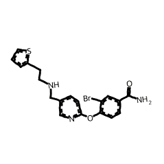 NC(=O)c1ccc(Oc2ccc(CNCCc3cccs3)cn2)c(Br)c1